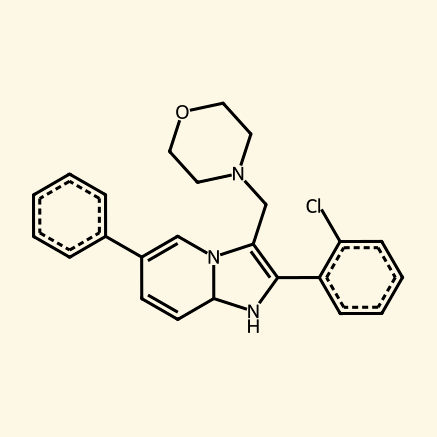 Clc1ccccc1C1=C(CN2CCOCC2)N2C=C(c3ccccc3)C=CC2N1